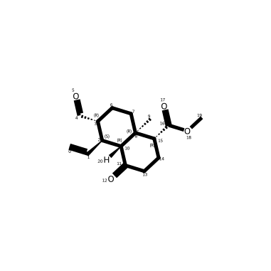 C=C[C@H]1[C@H](C=O)CC[C@]2(C)[C@@H]1C(=O)CC[C@H]2C(=O)OC